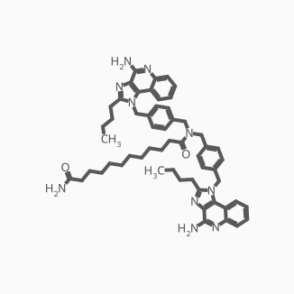 CCCCc1nc2c(N)nc3ccccc3c2n1Cc1ccc(CN(Cc2ccc(Cn3c(CCCC)nc4c(N)nc5ccccc5c43)cc2)C(=O)CCCCCCCCCCC(N)=O)cc1